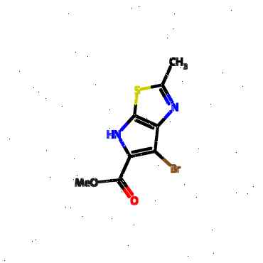 COC(=O)c1[nH]c2sc(C)nc2c1Br